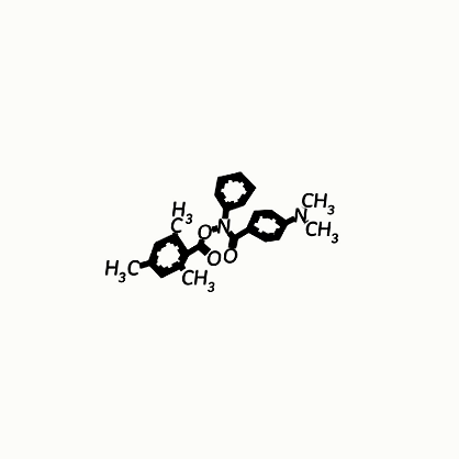 Cc1cc(C)c(C(=O)ON(C(=O)c2ccc(N(C)C)cc2)c2ccccc2)c(C)c1